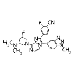 CN(C)[C@@H]1C[C@@H](F)CN(c2nccn3c(-c4ccc5c(c4)nnn5C)c(-c4ccc(C#N)c(F)c4)nc23)C1